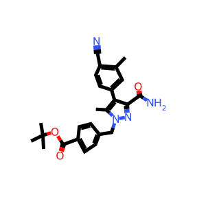 Cc1cc(-c2c(C(N)=O)nn(Cc3ccc(C(=O)OC(C)(C)C)cc3)c2C)ccc1C#N